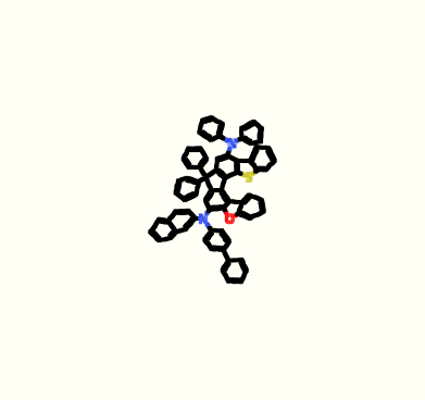 c1ccc(-c2ccc(N(c3ccc4ccccc4c3)c3cc4c(c5c3oc3ccccc35)-c3c(cc(N(c5ccccc5)c5ccccc5)c5c3sc3ccccc35)C4(c3ccccc3)c3ccccc3)cc2)cc1